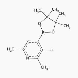 Cc1cc(B2OC(C)(C)C(C)(C)O2)c(F)c(C)n1